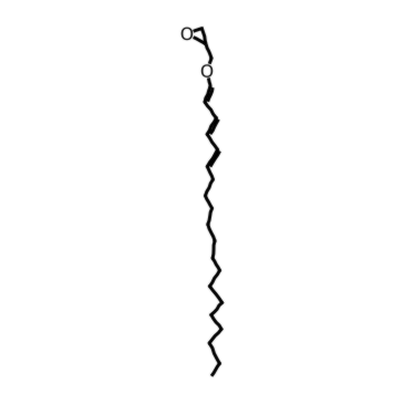 CCCCCCCCCCCCCCC=CC=CC=COCC1CO1